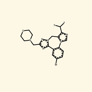 FC(F)c1ncn2c1Cn1nc(CN3CCOCC3)nc1-c1cc(Br)ccc1-2